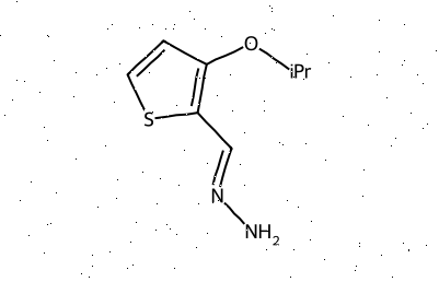 CC(C)Oc1ccsc1C=NN